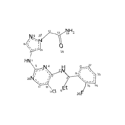 CCC(Nc1nc(Nc2cnn(CC(N)=O)c2)ncc1Cl)c1ccccc1F